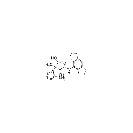 Cc1cncn1C(C)(C(=O)O)C(C)C(=O)Nc1c2c(cc3c1CCC3)CCC2